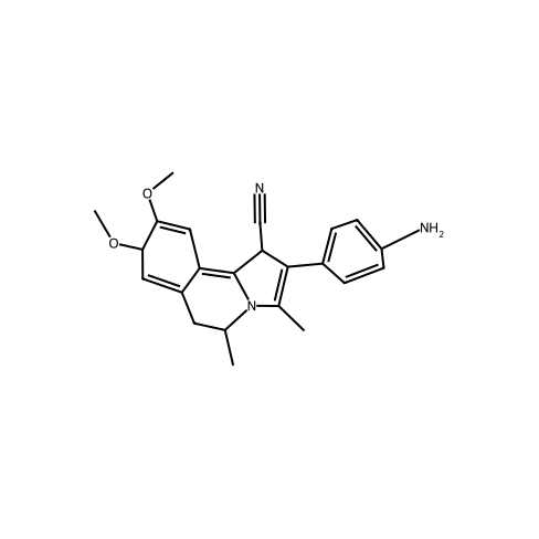 COC1=CC2=C3C(C#N)C(c4ccc(N)cc4)=C(C)N3C(C)CC2=CC1OC